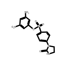 O=C1NCCN1c1ccc(S(=O)(=O)Oc2cc([N+](=O)[O-])cc([N+](=O)[O-])c2)cc1